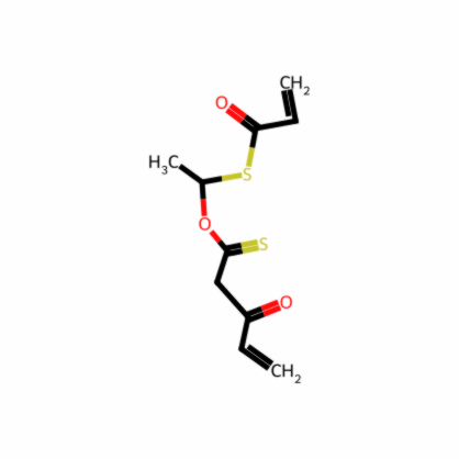 C=CC(=O)CC(=S)OC(C)SC(=O)C=C